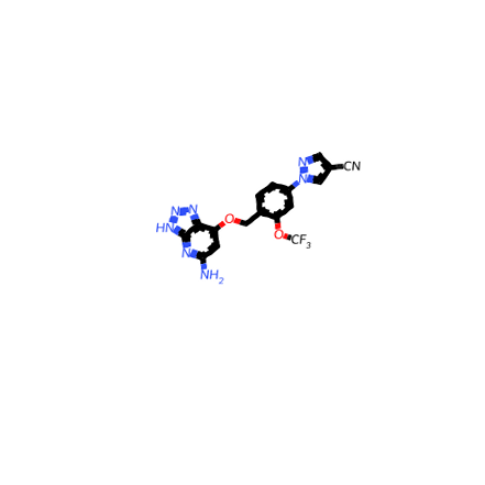 N#Cc1cnn(-c2ccc(COc3cc(N)nc4[nH]nnc34)c(OC(F)(F)F)c2)c1